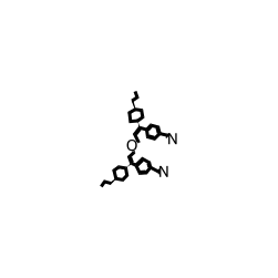 CCC[C@H]1CC[C@H](C(=CCOCC=C(c2ccc(C#N)cc2)[C@H]2CC[C@H](CCC)CC2)c2ccc(C#N)cc2)CC1